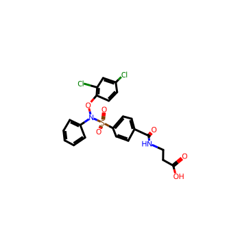 O=C(O)CCNC(=O)c1ccc(S(=O)(=O)N(Oc2ccc(Cl)cc2Cl)c2ccccc2)cc1